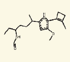 CCC(CCC(C)c1cc(OC)c(C2=C(C)CC2)[nH]1)NC=O